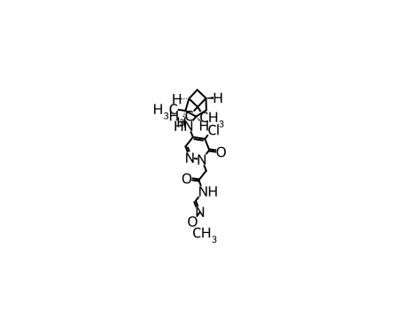 CON=CNC(=O)Cn1ncc(N[C@@H]2C[C@H]3C[C@H]([C@@H]2C)C3(C)C)c(Cl)c1=O